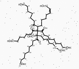 CCCCCCCC/C=C\CCCCC(C(=O)CCCCCCCCCCCCCCC)C(C(=O)CCCCCCCCCCCCCCC)(C(=O)CCCCCCCCCCCCCCCCC)C([C]=O)(CCCCCCCCCCCCCCCC)C(=O)CCCCCCCCCCCCCCCCC